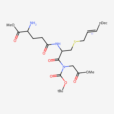 CCCCCCCCCC/C=C/CSCC(NC(=O)CCC(N)C(=O)OC)C(=O)N(CC(=O)OC)C(=O)OC(C)(C)C